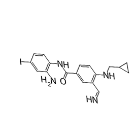 N=Cc1cc(C(=O)Nc2ccc(I)cc2N)ccc1NCC1CC1